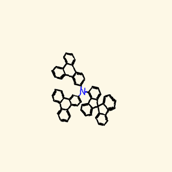 c1ccc2c(c1)-c1ccccc1C21c2ccccc2-c2c(N(c3ccc4c5ccccc5c5ccccc5c4c3)c3ccc4c5ccccc5c5ccccc5c4c3)cccc21